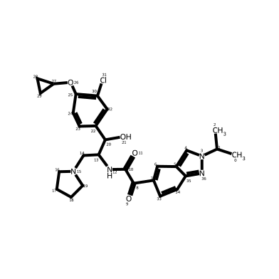 CC(C)n1cc2cc(C(=O)C(=O)NC(CN3CCCC3)C(O)c3ccc(OC4CC4)c(Cl)c3)ccc2n1